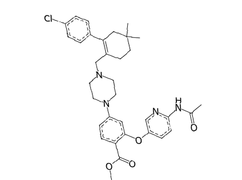 COC(=O)c1ccc(N2CCN(CC3=C(c4ccc(Cl)cc4)CC(C)(C)CC3)CC2)cc1Oc1ccc(NC(C)=O)nc1